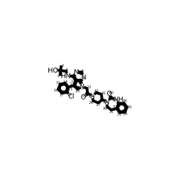 CC(C)(O)CNc1ncnc2c1c(-c1ccccc1Cl)cn2CC(=O)N1CCC(N2CCc3ccccc3NC2=O)CC1